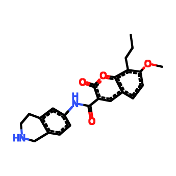 CCCc1c(OC)ccc2cc(C(=O)Nc3ccc4c(c3)CCNC4)c(=O)oc12